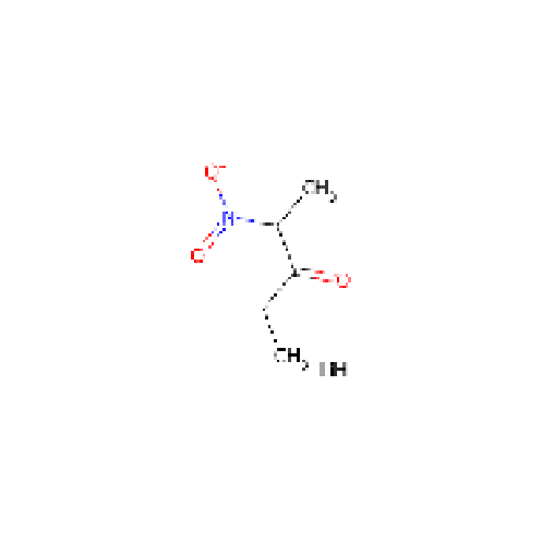 CCC(=O)C(C)[N+](=O)[O-].[LiH]